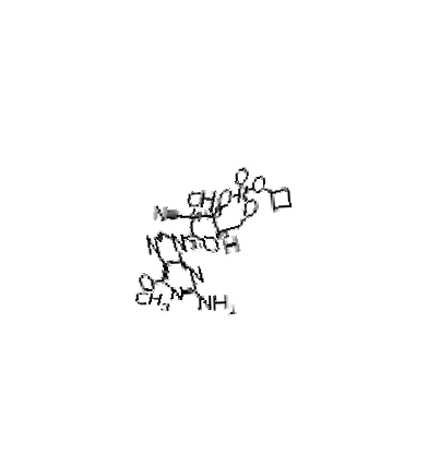 COc1nc(N)nc2c1ncn2[C@@H]1O[C@@H]2COP(=O)(OC3CCC3)O[C@H]2[C@@]1(C)C#N